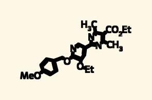 CCOC(=O)c1c(C)nc(-c2cnc(OCc3ccc(OC)cc3)c(OCC)c2)nc1C